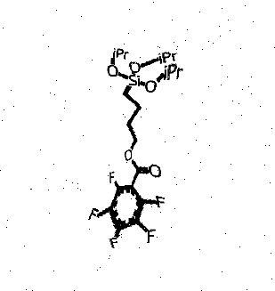 CC(C)O[Si](CCCCOC(=O)c1c(F)c(F)c(F)c(F)c1F)(OC(C)C)OC(C)C